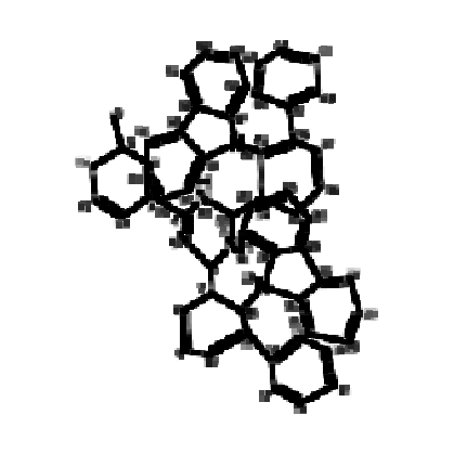 CC1C=C(C2=NC(C3C=CC=C(c4ccccc4)C3n3c4ccccc4c4ccccc43)NC(C3CC=CC(c4ccccc4)=C3n3c4ccccc4c4ccccc43)N2)C=CC1